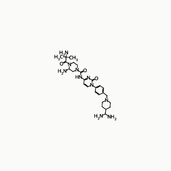 CC(C)(N)C(=O)N1CCN(C(=O)Nc2ccn(-c3ccc(CN4CCC(C(N)N)CC4)cc3)c(=O)n2)C[C@H]1N